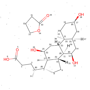 C[C@H](CCC(=O)O)[C@H]1CC[C@H]2[C@@H]3[C@H](O)C[C@@H]4C[C@H](O)CC[C@]4(C)[C@H]3C[C@H](O)[C@]12C.O=C1CCCO1